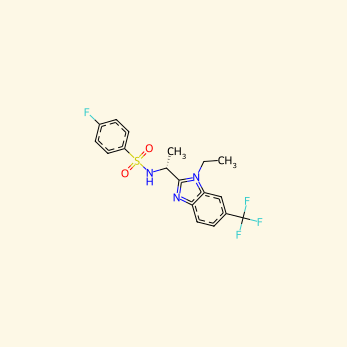 CCn1c([C@@H](C)NS(=O)(=O)c2ccc(F)cc2)nc2ccc(C(F)(F)F)cc21